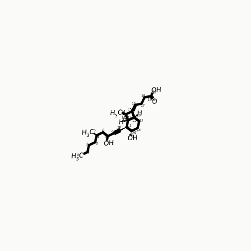 CCCC[C@@H](C)CC(O)C#C[C@H]1[C@@H]2C(C)/C(=C/CCC(=O)O)[C@@H]2CC[C@@H]1O